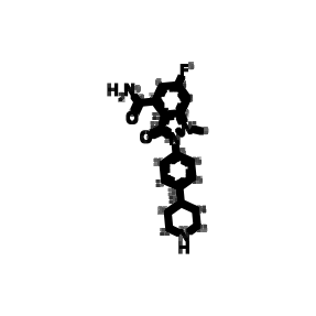 Cn1c2cc(F)cc(C(N)=O)c2c(=O)n1-c1ccc(C2CCNCC2)cc1